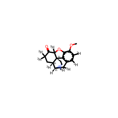 [2H]c1c([2H])c2c3c(c1OC)OC1([2H])C(=O)C([2H])([2H])C[C@@]4([2H])[C@H](N(C)CC[C@]314)C2([2H])[2H]